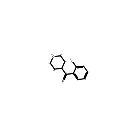 O=C(c1ccccc1Br)C1CCOCC1